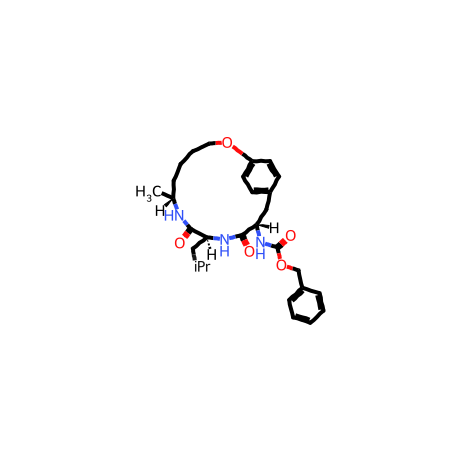 CC(C)C[C@@H]1NC(=O)[C@@H](NC(=O)OCc2ccccc2)Cc2ccc(cc2)OCCCC[C@@H](C)NC1=O